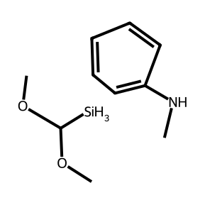 CNc1ccccc1.COC([SiH3])OC